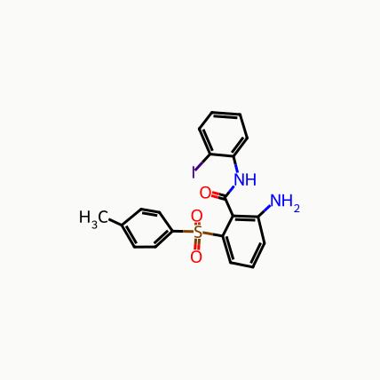 Cc1ccc(S(=O)(=O)c2cccc(N)c2C(=O)Nc2ccccc2I)cc1